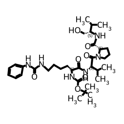 CC(C)[C@H](NC(=O)[C@H](CCCCNC(=O)Nc1ccccc1)NC(=O)OC(C)(C)C)C(=O)N1CCC[C@H]1C(=O)N[C@H](CO)C(C)C